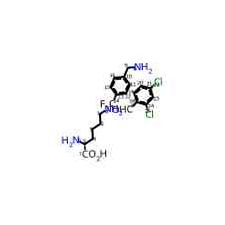 NCCCC[C@H](N)C(=O)O.NCc1ccc(C(F)(F)F)cc1.O=Cc1ccc(Cl)cc1Cl